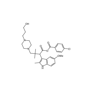 COc1ccc2[nH]c(C)c(C(C(=O)OC(=O)c3ccc(Cl)cc3)C(C)(C)CN3CCN(CCCO)CC3)c2c1